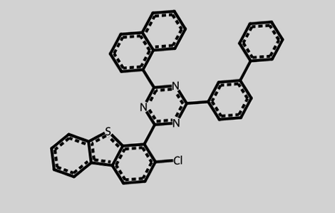 Clc1ccc2c(sc3ccccc32)c1-c1nc(-c2cccc(-c3ccccc3)c2)nc(-c2cccc3ccccc23)n1